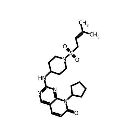 CC(C)=CCS(=O)(=O)N1CCC(Nc2ncc3ccc(=O)n(C4CCCC4)c3n2)CC1